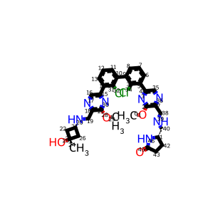 COc1nc(-c2cccc(-c3cccc(-c4cnc(CN[C@H]5C[C@@](C)(O)C5)c(OC)n4)c3Cl)c2Cl)cnc1CNC[C@@H]1CCC(=O)N1